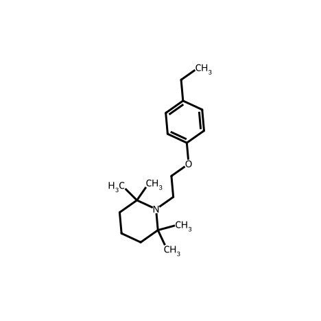 CCc1ccc(OCCN2C(C)(C)CCCC2(C)C)cc1